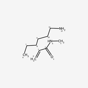 C=CC(=O)NC.CCCCCCN